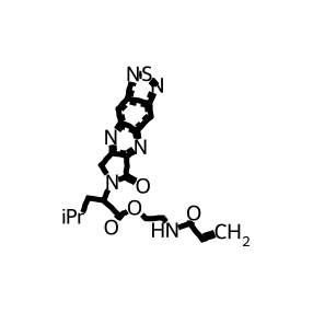 C=CC(=O)NCCOC(=O)C(CC(C)C)N1Cc2nc3cc4nsnc4cc3nc2C1=O